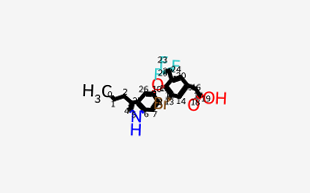 CCCc1c[nH]c2ccc(Oc3c(Br)cc(CC(=O)O)cc3C(F)(F)F)cc12